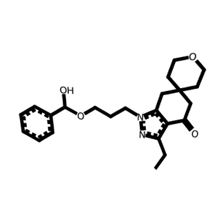 CCc1nn(CCCOC(O)c2ccccc2)c2c1C(=O)CC1(CCOCC1)C2